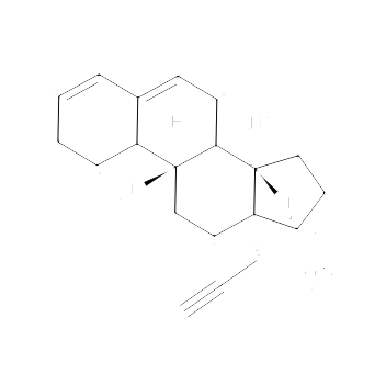 C#CC[C@]12CC[C@H]3[C@@H](CC=C4C=CCC[C@@H]43)[C@@H]1CC[C@@H]2OC(C)=O